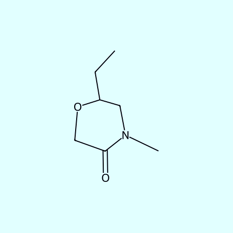 CCC1CN(C)C(=O)CO1